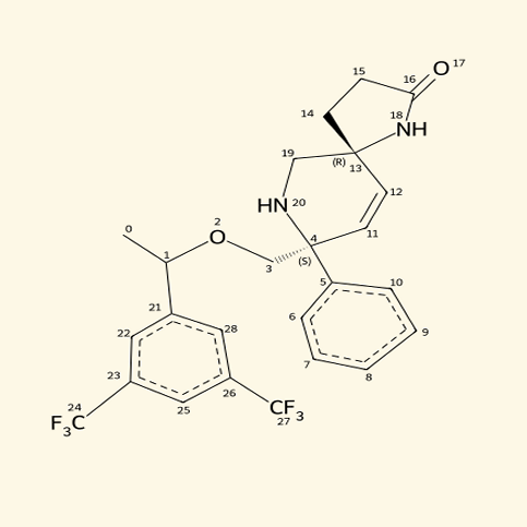 CC(OC[C@@]1(c2ccccc2)C=C[C@]2(CCC(=O)N2)CN1)c1cc(C(F)(F)F)cc(C(F)(F)F)c1